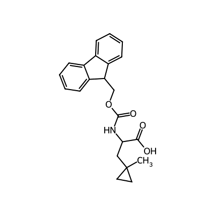 CC1(CC(NC(=O)OCC2c3ccccc3-c3ccccc32)C(=O)O)CC1